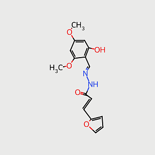 COc1cc(O)c(C=NNC(=O)C=Cc2ccco2)c(OC)c1